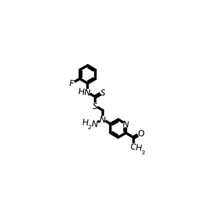 CC(=O)c1ccc(N(N)CSC(=S)Nc2ccccc2F)cn1